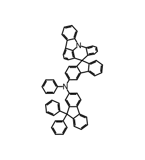 c1ccc(N(c2ccc3c(c2)-c2ccccc2C32c3ccccc3-n3c4ccccc4c4cccc2c43)c2ccc3c(c2)C(c2ccccc2)(c2ccccc2)c2ccccc2-3)cc1